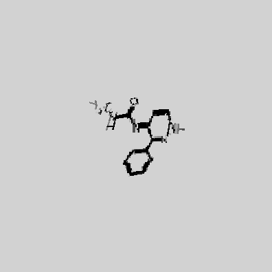 CNC(=O)N=c1cc[nH]nc1-c1ccccc1